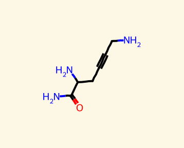 NCC#CCC(N)C(N)=O